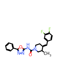 CC1CN(C(=O)Nc2nnc(-c3ccccc3)o2)CCC1=Cc1ccc(F)c(F)c1